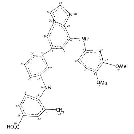 COc1ccc(Nc2nc(-c3cccc(Nc4ccc(C(=O)O)cc4C)c3)cn3ccnc23)cc1OC